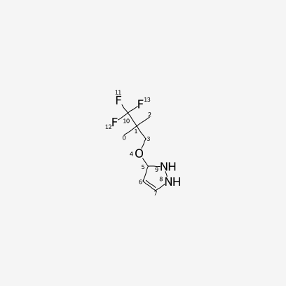 CC(C)(COC1C=CNN1)C(F)(F)F